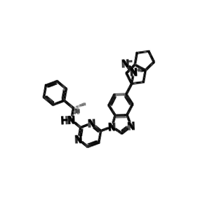 C[C@H](Nc1nccc(-n2cnc3cc(C45CC6CCCC6(C4)[N+]5=[N-])ccc32)n1)c1ccccc1